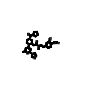 COc1ccc(CCNC(=O)CC2CN(C(=O)C3CCOC3)CCN2c2cc(C)nc(-n3ccnc3)n2)cc1Cl